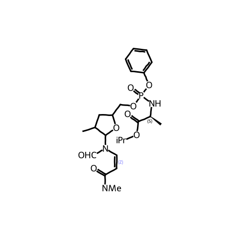 CNC(=O)/C=C\N(C=O)C1OC(COP(=O)(N[C@@H](C)C(=O)OC(C)C)Oc2ccccc2)CC1C